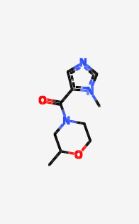 CC1CN(C(=O)c2cncn2C)CCO1